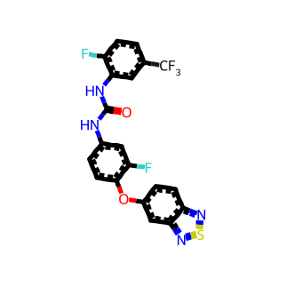 O=C(Nc1ccc(Oc2ccc3nsnc3c2)c(F)c1)Nc1cc(C(F)(F)F)ccc1F